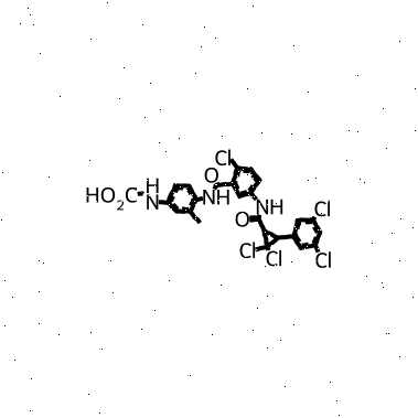 Cc1cc(NCC(=O)O)ccc1NC(=O)c1cc(NC(=O)C2C(c3cc(Cl)cc(Cl)c3)C2(Cl)Cl)ccc1Cl